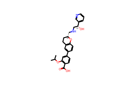 CC(C)Oc1cc(-c2ccc3c(c2)CC[C@H](CNC[C@@H](O)c2cccnc2)O3)ccc1C(=O)O